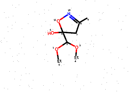 CCOC(OCC)C1(O)CC(C)=NO1